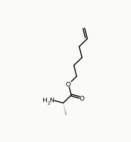 C=CCCCCOC(=O)[C@H](C)N